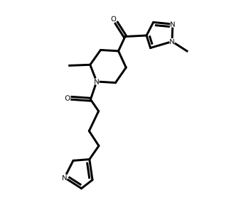 CC1CC(C(=O)c2cnn(C)c2)CCN1C(=O)CCCC1=CC=NC1